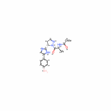 Bc1ccc(-c2cnc([C@@H]3CC=NN3C(=O)[C@@H](NC(=O)OC)C(C)C)[nH]2)cc1